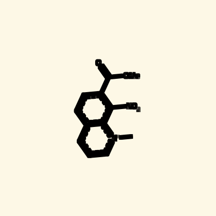 COC(=O)c1ccc2ccc[n+](C)c2c1[N+](=O)[O-]